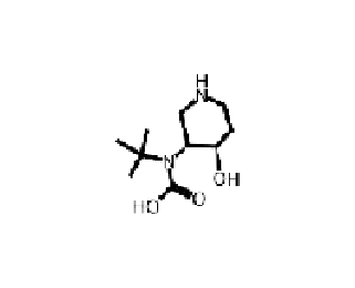 CC(C)(C)N(C(=O)O)[C@H]1CNCC[C@H]1O